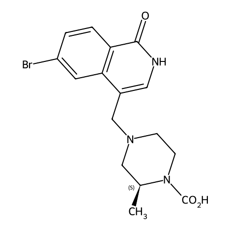 C[C@H]1CN(Cc2c[nH]c(=O)c3ccc(Br)cc23)CCN1C(=O)O